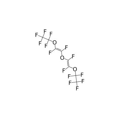 FC(OC(F)=C(F)OC(F)(F)C(F)(F)F)=C(F)OC(F)(F)C(F)(F)F